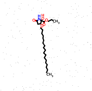 CCCCCCCCCCCCCCCCCCCCOC1CC(=O)N[C@]1(O)C(=O)OCCC